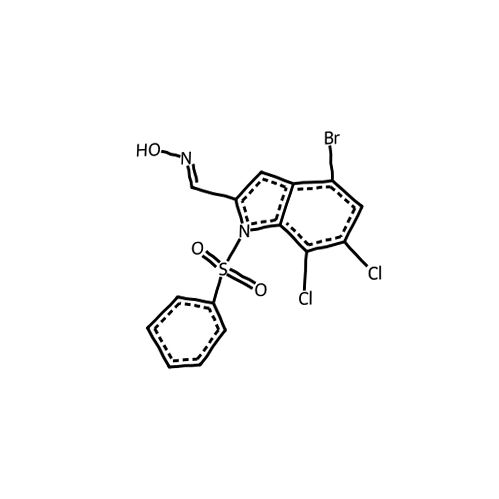 O=S(=O)(c1ccccc1)n1c(C=NO)cc2c(Br)cc(Cl)c(Cl)c21